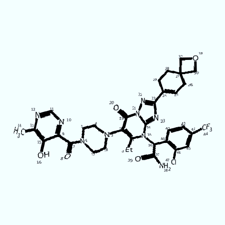 CCc1c(N2CCN(C(=O)c3ncnc(C)c3O)CC2)c(=O)n2nc(C3=CCC4(CC3)COC4)nc2n1C(C(N)=O)c1ccc(C(F)(F)F)cc1Cl